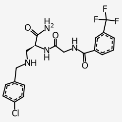 NC(=O)[C@H](CNCc1ccc(Cl)cc1)NC(=O)CNC(=O)c1cccc(C(F)(F)F)c1